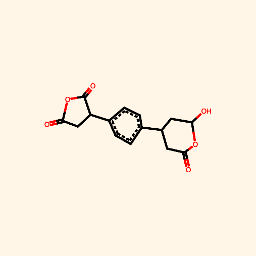 O=C1CC(c2ccc(C3CC(=O)OC(O)C3)cc2)C(=O)O1